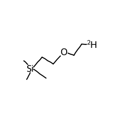 [2H]CCOCC[Si](C)(C)C